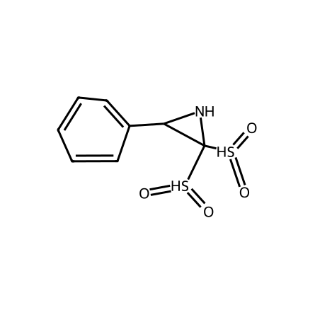 O=[SH](=O)C1([SH](=O)=O)NC1c1ccccc1